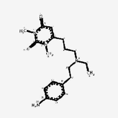 CCN(CCCc1cc(=O)n(C)c(=O)n1C)CCc1ccc(N)cc1